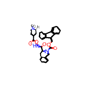 O=C(ONC(=O)C1Cc2ccccc2CN1C(=O)OCC1c2ccccc2-c2ccccc21)C1CCN(C(=O)O)CC1